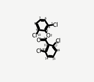 O=C(Oc1c(Cl)cccc1Cl)c1c(Cl)cccc1Cl